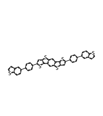 c1cc2cc(-c3ccc(-c4cc5sc6cc7c(cc6c5s4)sc4cc(-c5ccc(-c6ccc8sccc8c6)cc5)sc47)cc3)ccc2s1